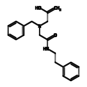 C=C(O)CN(CC(=O)NCCc1ccccc1)Cc1ccccc1